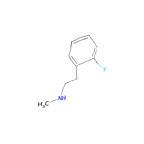 CNCCc1ccccc1F